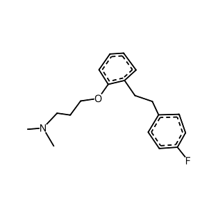 CN(C)CCCOc1ccccc1CCc1ccc(F)cc1